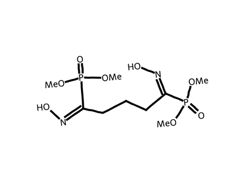 COP(=O)(OC)C(CCCC(=NO)P(=O)(OC)OC)=NO